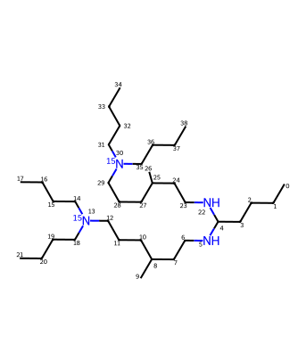 CCCCC(NCCC(C)CCC[15N](CCCC)CCCC)NCCC(C)CCC[15N](CCCC)CCCC